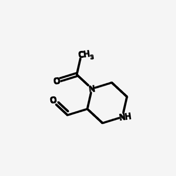 CC(=O)N1CCNCC1C=O